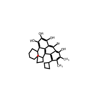 Cc1c(C)c(C2CCC2)c2c(C3CCC3)c3c(C4CCCCC4)c(O)c(O)c(O)c3c(Br)c2c1O